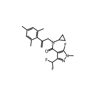 C=C(CN(C(=O)c1c(C(F)F)nn(C)c1F)C1CC1)c1c(C)cc(C)cc1C